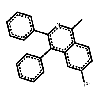 Cc1nc(-c2ccccc2)c(-c2ccccc2)c2cc(C(C)C)ccc12